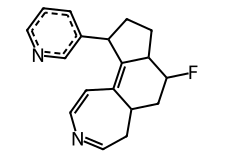 FC1CC2CC=NC=CC2=C2C(c3cccnc3)CCC21